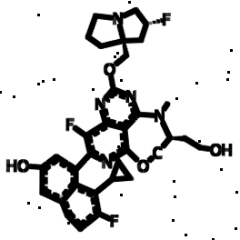 CN1c2nc(OC[C@@]34CCCN3C[C@H](F)C4)nc3c(F)c(-c4cc(O)cc5ccc(F)c(C6CC6)c45)nc(c23)OC[C@@H]1CCO